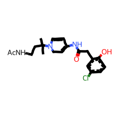 CC(=O)NCCC(C)(C)N1C=CC(NC(=O)Cc2cc(Cl)ccc2O)=CC1